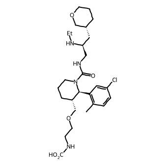 CCN[C@H](CNC(=O)N1CCC[C@@H](COCCNC(=O)O)[C@@H]1c1cc(Cl)ccc1C)C[C@H]1CCCOC1